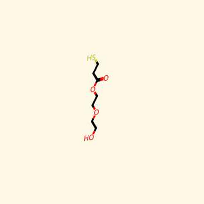 O=C(CCS)OCCOCCO